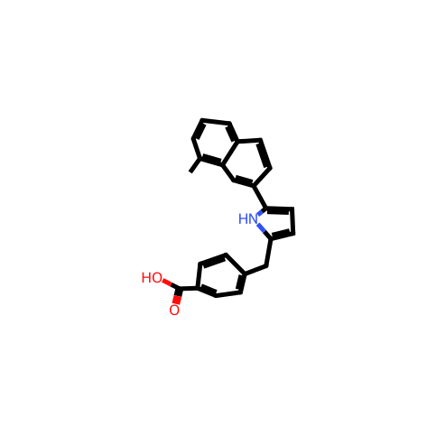 Cc1cccc2ccc(-c3ccc(Cc4ccc(C(=O)O)cc4)[nH]3)cc12